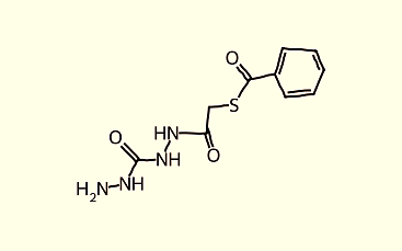 NNC(=O)NNC(=O)CSC(=O)c1ccccc1